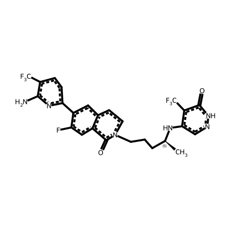 C[C@@H](CCCn1ccc2cc(-c3ccc(C(F)(F)F)c(N)n3)c(F)cc2c1=O)Nc1cn[nH]c(=O)c1C(F)(F)F